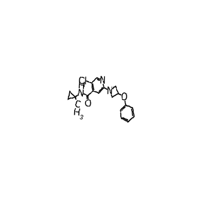 CC1(NC(=O)c2cc(N3CC(Oc4ccccc4)C3)ncc2Cl)CC1